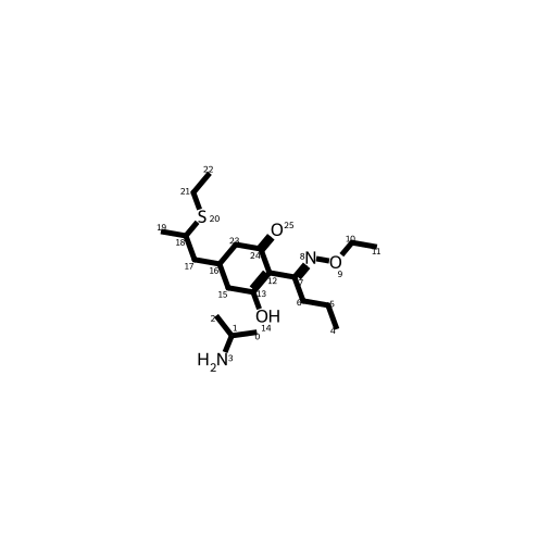 CC(C)N.CCCC(=NOCC)C1=C(O)CC(CC(C)SCC)CC1=O